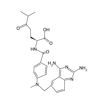 CC(C)C(=O)CC[C@H](NC(=O)c1ccc(N(C)Cc2ccc3nc(N)nc(N)c3c2)cc1)C(=O)O